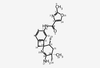 Cc1nc(C(=O)Nc2ccc3c(c2)[C@@]2(C3)N=C(N)[C@](C)(F)C[C@@H]2F)co1